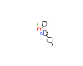 CCC1CCC(c2ccc(C(OC)c3ccccc3F)nc2)CC1